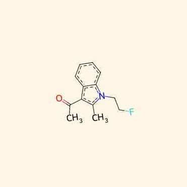 CC(=O)c1c(C)n(CCF)c2ccccc12